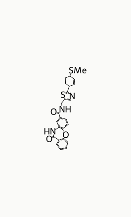 CSC1C=CC(c2ncc(CNC(=O)c3ccc4c(c3)NC(=O)c3ccccc3O4)s2)CC1